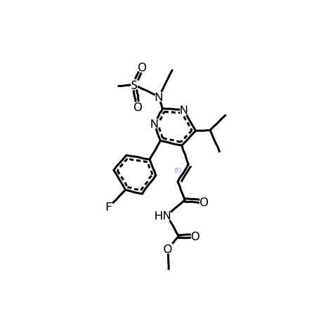 COC(=O)NC(=O)/C=C/c1c(-c2ccc(F)cc2)nc(N(C)S(C)(=O)=O)nc1C(C)C